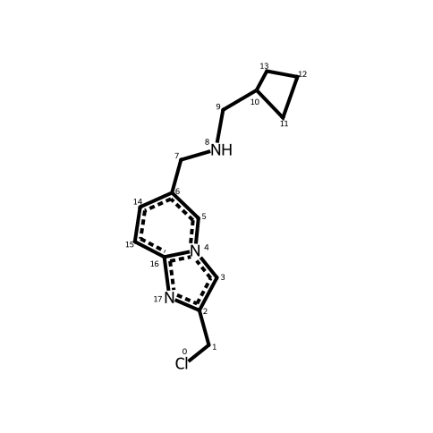 ClCc1cn2cc(CNCC3CCC3)ccc2n1